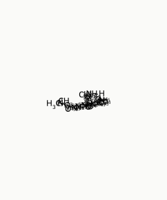 CN(C)CCCOC(=O)CCN1CCN(C2CCN(C(=O)[C@@H](Cc3cc(Cl)c(N)c(C(F)(F)F)c3)OC(=O)N3CCC(N4CCc5ccccc5NC4=O)CC3)CC2)CC1